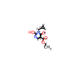 CCOC(=O)c1cnc(O)n(CC2CC2)c1=O